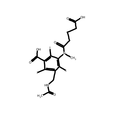 CC(=O)NCc1c(I)c(C(=O)O)c(I)c(N(C)C(=O)CCCC(=O)O)c1I